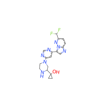 OC1(C2CN(c3cc(-c4cnc5ccc(C(F)F)nn45)ncn3)CCN2)CC1